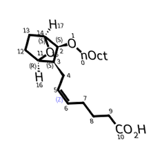 CCCCCCCCO[C@H]1[C@@H](C/C=C\CCCC(=O)O)[C@H]2CC[C@@H]1O2